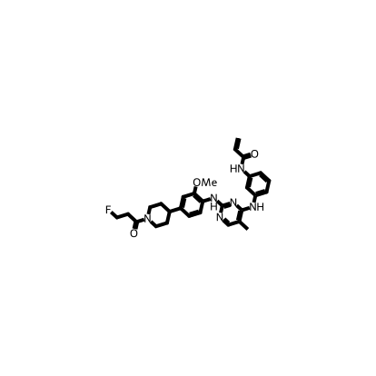 C=CC(=O)Nc1cccc(Nc2nc(Nc3ccc(C4CCN(C(=O)CCF)CC4)cc3OC)ncc2C)c1